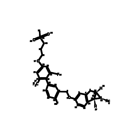 CC(=O)[C@H]1[C@@H]2Cc3cc(OCc4cc(-c5c(F)cc(OCCCS(C)(=O)=O)cc5C(F)(F)F)ccc4F)ncc3[C@@H]21